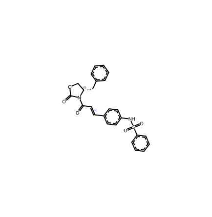 O=C(/C=C/c1ccc(NS(=O)(=O)c2ccccc2)cc1)N1C(=O)OC[C@@H]1Cc1ccccc1